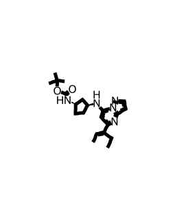 C/C=C(\CC)c1cc(N[C@H]2CC[C@H](NC(=O)OC(C)(C)C)C2)n2nccc2n1